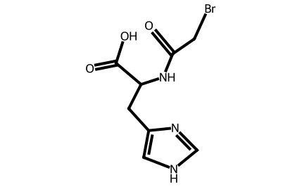 O=C(CBr)NC(Cc1c[nH]cn1)C(=O)O